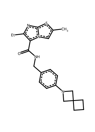 CCc1nc2sc(C)cn2c1C(=O)NCc1ccc(N2CC3(CCC3)C2)cc1